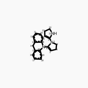 C1=C(N2CCC=C2N2c3ccccc3Cc3ccccc32)NCC1